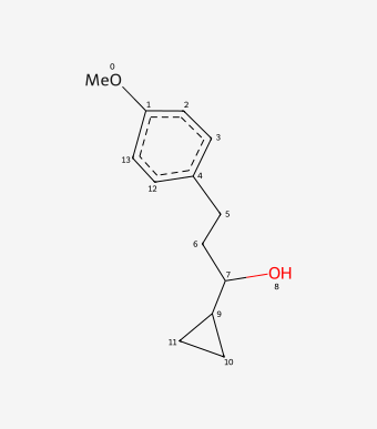 COc1ccc(CCC(O)C2CC2)cc1